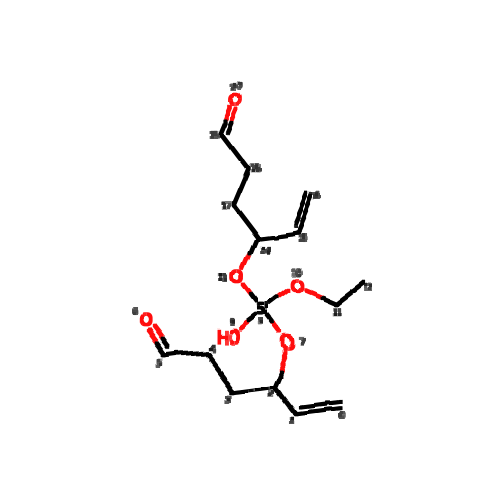 C=CC(CCC=O)O[Si](O)(OCC)OC(C=C)CCC=O